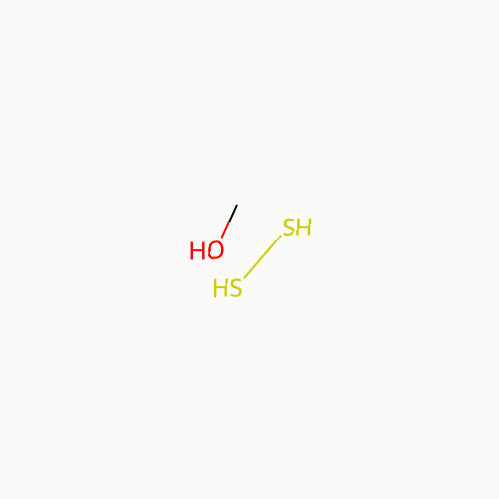 CO.SS